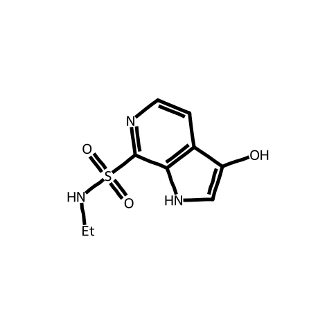 CCNS(=O)(=O)c1nccc2c(O)c[nH]c12